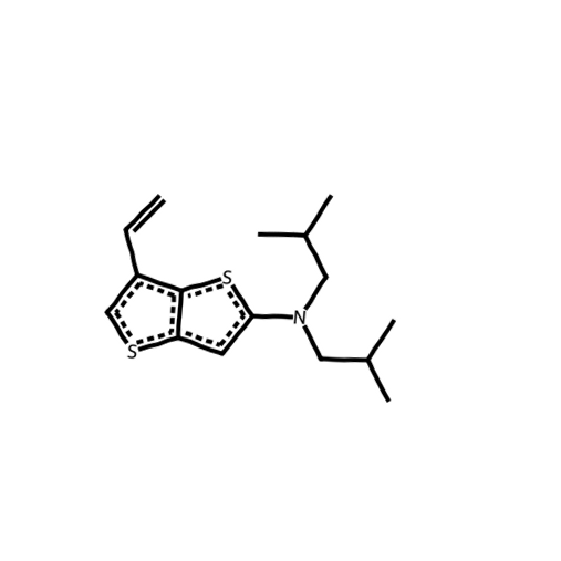 C=Cc1csc2cc(N(CC(C)C)CC(C)C)sc12